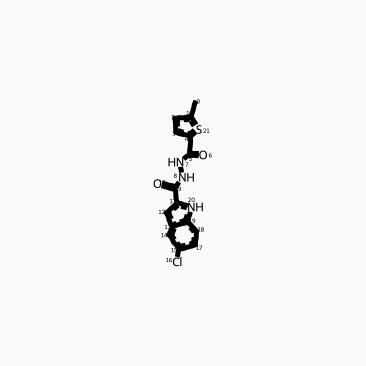 Cc1ccc(C(=O)NNC(=O)c2cc3cc(Cl)ccc3[nH]2)s1